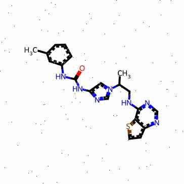 Cc1cccc(NC(=O)Nc2cn(C(C)CNc3ncnc4ccsc34)cn2)c1